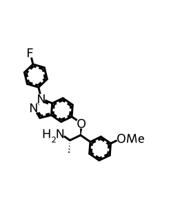 COc1cccc([C@H](Oc2ccc3c(cnn3-c3ccc(F)cc3)c2)[C@H](C)N)c1